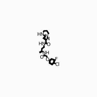 C=C(CCNC(=O)c1cc2n(n1)CCCN2)NC(=O)COc1ccc(Cl)c(F)c1